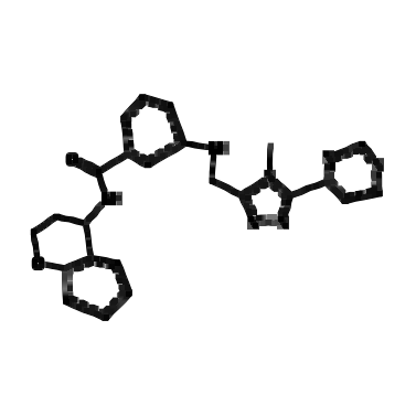 Cn1c(CNc2cccc(C(=O)NC3CCOc4ccccc43)c2)nnc1-c1ccncn1